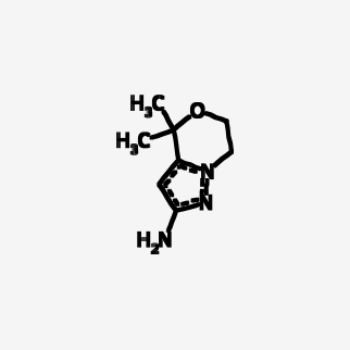 CC1(C)OCCn2nc(N)cc21